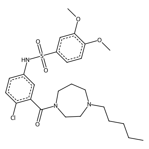 CCCCCN1CCCN(C(=O)c2cc(NS(=O)(=O)c3ccc(OC)c(OC)c3)ccc2Cl)CC1